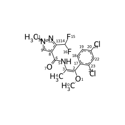 COC(=C(C)NC(=O)c1cn(C)nc1C(F)F)c1ccc(Cl)cc1Cl